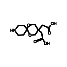 O=C(O)CC1(CC(=O)O)COC2(CCNCC2)OC1